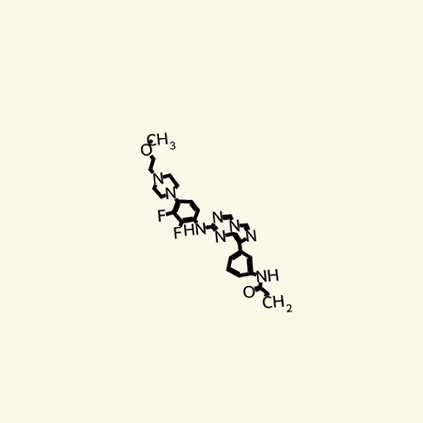 C=CC(=O)Nc1cccc(-c2ncn3cnc(Nc4ccc(N5CCN(CCOC)CC5)c(F)c4F)nc23)c1